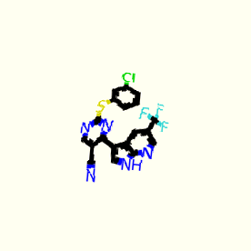 N#Cc1cnc(Sc2cccc(Cl)c2)nc1-c1c[nH]c2ncc(C(F)(F)F)cc12